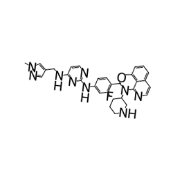 Cc1cccc2ccnc(N(C(=O)c3ccc(Nc4nccc(NCc5cnn(C)c5)n4)cc3F)[C@@H]3CCCNC3)c12